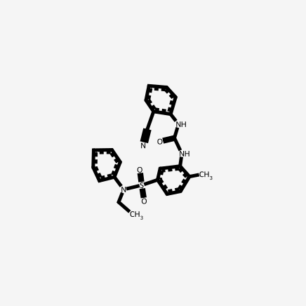 CCN(c1ccccc1)S(=O)(=O)c1ccc(C)c(NC(=O)Nc2ccccc2C#N)c1